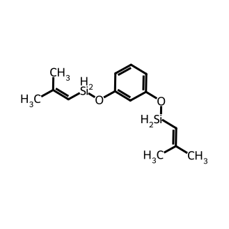 CC(C)=C[SiH2]Oc1cccc(O[SiH2]C=C(C)C)c1